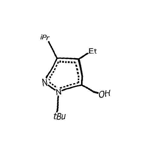 CCc1c(C(C)C)nn(C(C)(C)C)c1O